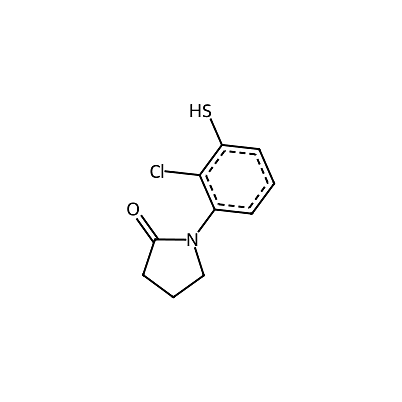 O=C1CCCN1c1cccc(S)c1Cl